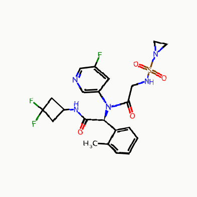 Cc1ccccc1[C@@H](C(=O)NC1CC(F)(F)C1)N(C(=O)CNS(=O)(=O)N1CC1)c1cncc(F)c1